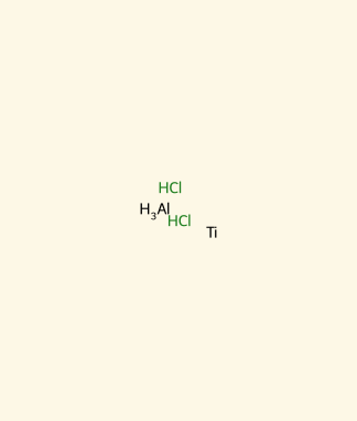 Cl.Cl.[AlH3].[Ti]